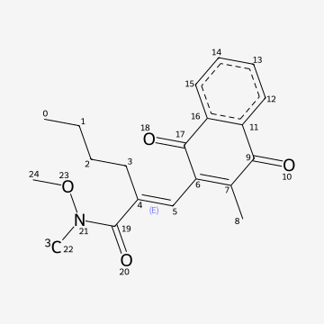 CCCC/C(=C\C1=C(C)C(=O)c2ccccc2C1=O)C(=O)N([3CH3])OC